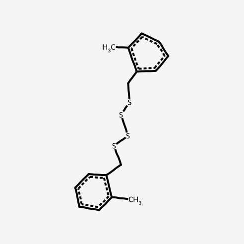 Cc1ccccc1CSSSSCc1ccccc1C